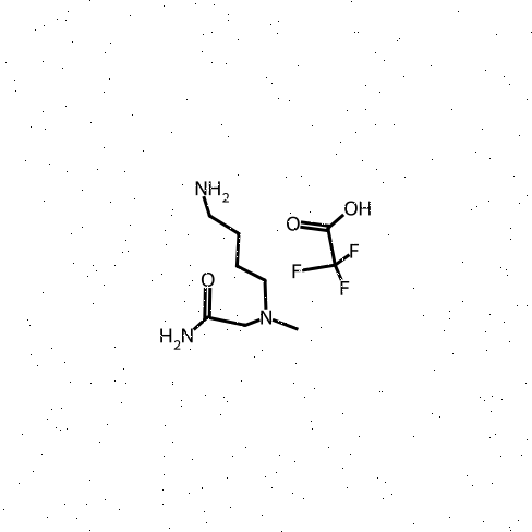 CN(CCCCN)CC(N)=O.O=C(O)C(F)(F)F